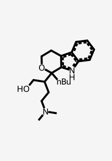 CCCCC1(C(CO)CCN(C)C)OCCc2c1[nH]c1ccccc21